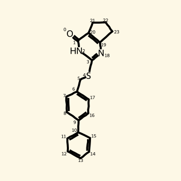 O=c1[nH]c(SCc2ccc(-c3ccccc3)cc2)nc2c1CCC2